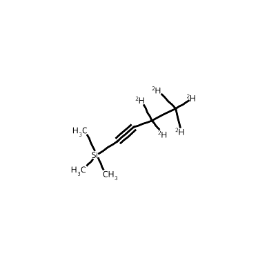 [2H]C([2H])([2H])C([2H])([2H])C#C[Si](C)(C)C